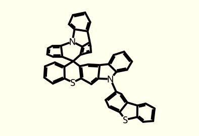 c1ccc2c(c1)Sc1cc3c(cc1C21c2ccccc2-n2c4ccccc4c4cccc1c42)c1ccccc1n3-c1ccc2sc3ccccc3c2c1